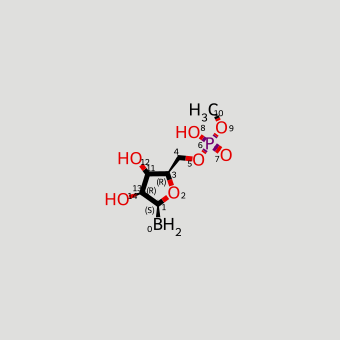 B[C@@H]1O[C@H](COP(=O)(O)OC)C(O)[C@@H]1O